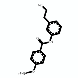 CCCCCCCOc1ccc(C(=O)Nc2cccc(CCC#N)c2)cc1